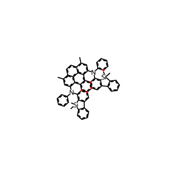 Cc1cc(N(c2ccccc2)c2cccc3c2[Si](C)(C)c2ccccc2-3)c2c3ccccc3c3c(N(c4ccccc4)c4cccc5c4[Si](C)(C)c4ccccc4-5)cc(C)c4ccc1c2c43